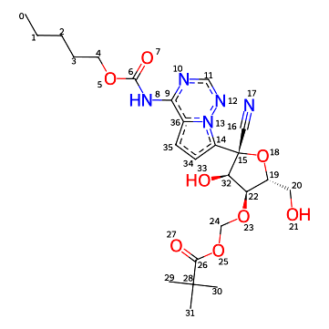 CCCCCOC(=O)Nc1ncnn2c([C@]3(C#N)O[C@H](CO)[C@@H](OCOC(=O)C(C)(C)C)[C@H]3O)ccc12